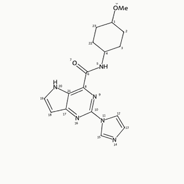 COC1CCC(NC(=O)c2nc(-n3ccnc3)nc3cc[nH]c23)CC1